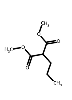 CCC[C](C(=O)OC)C(=O)OC